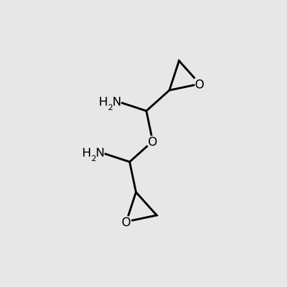 NC(OC(N)C1CO1)C1CO1